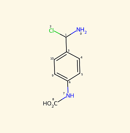 NC(Cl)c1ccc(NC(=O)O)cc1